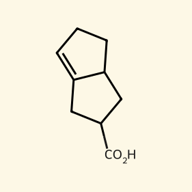 O=C(O)C1CC2=CCCC2C1